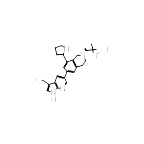 CC(O)(C(=O)N1CCc2cc(-c3cnc4[nH]cc(Cl)c4c3)cc(C3CCCN3)c2C1)C(F)(F)F